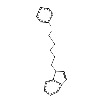 C1=CC(CCCCCOc2ccccc2)c2ccccc21